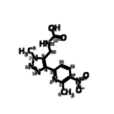 Cc1nc(-c2nnn(C)c2CNC(=O)O)ccc1[N+](=O)[O-]